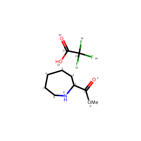 COC(=O)C1CCCCCN1.O=C(O)C(F)(F)F